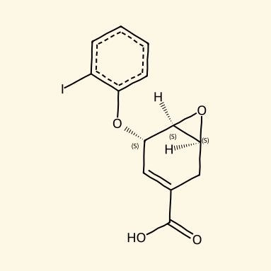 O=C(O)C1=C[C@H](Oc2ccccc2I)[C@H]2O[C@H]2C1